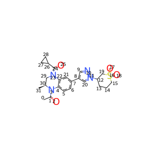 CC(=O)N1c2ccc(-c3cnn(C4CCCS(=O)(=O)C4)c3)cc2N(C(=O)C2CC2)C[C@@H]1C